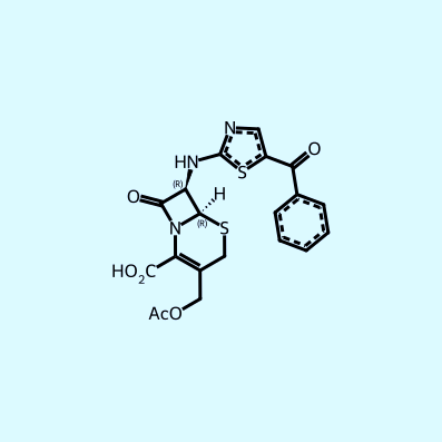 CC(=O)OCC1=C(C(=O)O)N2C(=O)[C@@H](Nc3ncc(C(=O)c4ccccc4)s3)[C@H]2SC1